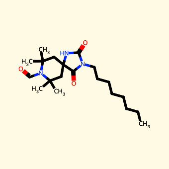 CCCCCCCCN1C(=O)NC2(CC(C)(C)N(C=O)C(C)(C)C2)C1=O